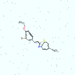 COCOc1ccc(/C=C/c2nc3ccc([N+](=O)[O-])cc3s2)cc1Br